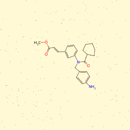 COC(=O)/C=C/c1cccc(N(Cc2ccc(N)cc2)C(=O)C2CCCCC2)c1